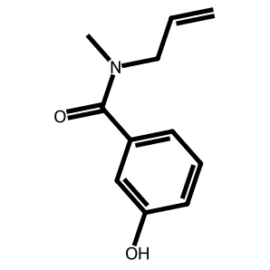 C=CCN(C)C(=O)c1cccc(O)c1